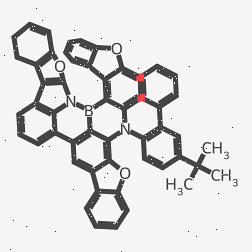 CC(C)(C)c1ccc(N2c3ccc4oc5ccccc5c4c3B3c4c(cc5c(oc6ccccc65)c42)-c2cccc4c5c6c(oc5n3c24)C=CCC6)c(-c2ccccc2)c1